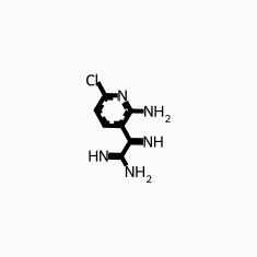 N=C(N)C(=N)c1ccc(Cl)nc1N